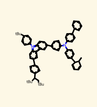 CC1C=CC=CC1c1ccc(N(c2ccc(-c3ccccc3)cc2)c2ccc(-c3ccc4c(c3)c3cc(-c5ccc(C(CC(C)(C)C)C(C)(C)C)cc5)ccc3n4-c3ccc(C(C)(C)C)cc3)cc2)cc1